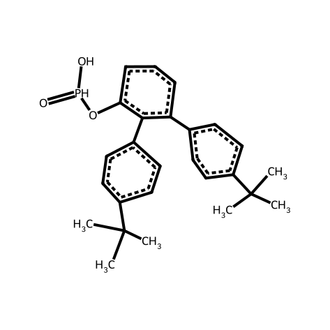 CC(C)(C)c1ccc(-c2cccc(O[PH](=O)O)c2-c2ccc(C(C)(C)C)cc2)cc1